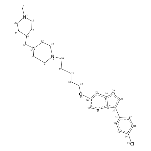 CN1CCC(CN2CCN(CCCCCOc3ccc4c(-c5ccc(Cl)cc5)coc4c3)CC2)CC1